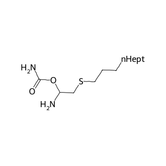 CCCCCCCCCCSCC(N)OC(N)=O